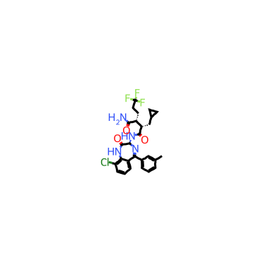 Cc1cccc(C2=N[C@H](NC(=O)[C@@H](CC3CC3)[C@@H](CCC(F)(F)F)C(N)=O)C(=O)Nc3c(Cl)cccc32)c1